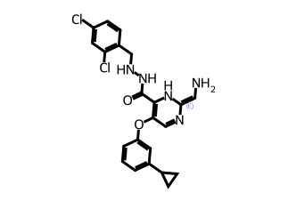 N/C=C1/N=CC(Oc2cccc(C3CC3)c2)=C(C(=O)NNCc2ccc(Cl)cc2Cl)N1